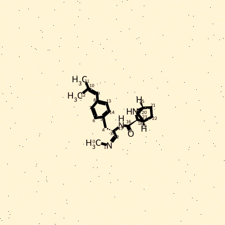 C/N=C\[C@H](Cc1ccc(C=C(C)C)cc1)NC(=O)[C@H]1N[C@@H]2CC[C@H]1C2